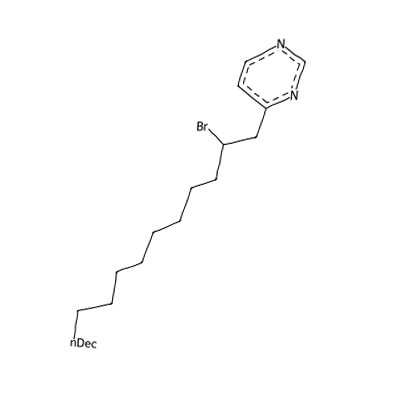 CCCCCCCCCCCCCCCCCCC(Br)Cc1ccncn1